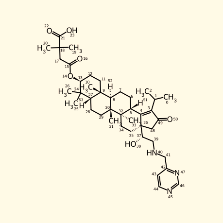 CC(C)C1=C2[C@H]3CC[C@@H]4[C@@]5(C)CC[C@H](OC(=O)CC(C)(C)C(=O)O)C(C)(C)[C@H]5CC[C@@]4(C)[C@]3(C)CC[C@@]2([C@@H](O)CNCc2ccncn2)CC1=O